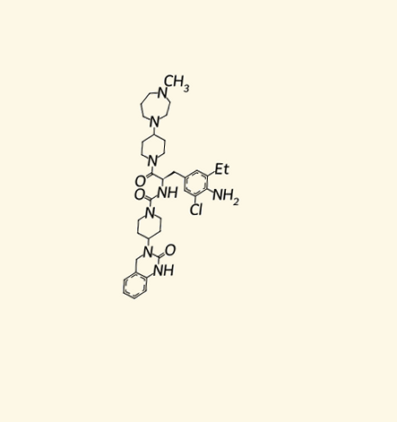 CCc1cc(C[C@@H](NC(=O)N2CCC(N3Cc4ccccc4NC3=O)CC2)C(=O)N2CCC(N3CCCN(C)CC3)CC2)cc(Cl)c1N